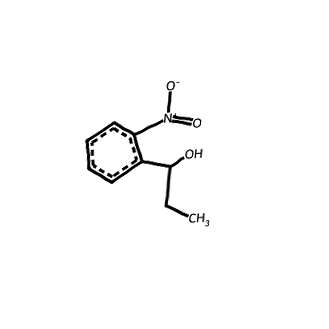 CCC(O)c1ccccc1[N+](=O)[O-]